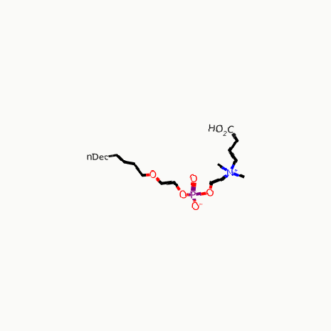 CCCCCCCCCCCCCCOCCOP(=O)([O-])OCC[N+](C)(C)CCCC(=O)O